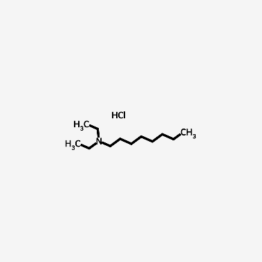 CCCCCCCCN(CC)CC.Cl